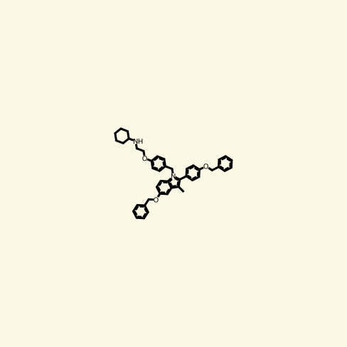 Cc1c(-c2ccc(OCc3ccccc3)cc2)n(Cc2ccc(OCCNC3CCCCC3)cc2)c2ccc(OCc3ccccc3)cc12